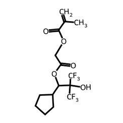 C=C(C)C(=O)OCC(=O)OC(C1CCCC1)C(O)(C(F)(F)F)C(F)(F)F